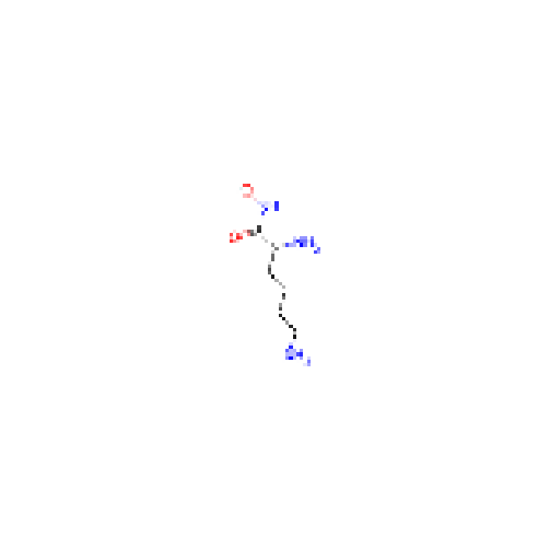 NCCCCC(N)C(=O)N[O]